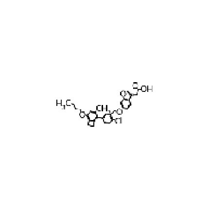 CCCCOc1cc(C)c(-c2ccc(Cl)c(COc3ccc4c(c3)OC[C@H]4CC(=O)O)c2)c2c1CC2